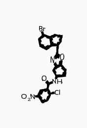 O=C(Nc1ccc2oc(-c3cccc4c(Br)cccc34)nc2c1)c1cc([N+](=O)[O-])ccc1Cl